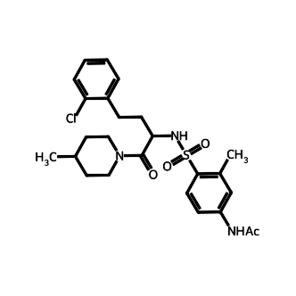 CC(=O)Nc1ccc(S(=O)(=O)NC(CCc2ccccc2Cl)C(=O)N2CCC(C)CC2)c(C)c1